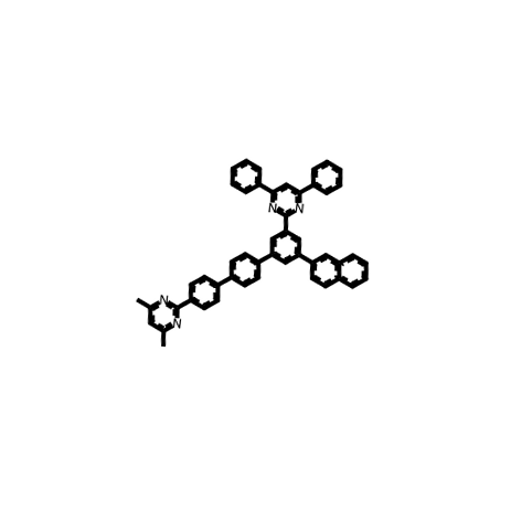 Cc1cc(C)nc(-c2ccc(-c3ccc(-c4cc(-c5ccc6ccccc6c5)cc(-c5nc(-c6ccccc6)cc(-c6ccccc6)n5)c4)cc3)cc2)n1